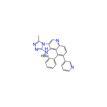 CCCCc1ccccc1-c1c(-c2cccnc2)ccc2ncc3c([nH]c4nnc(C)n43)c12